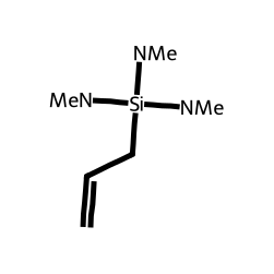 C=CC[Si](NC)(NC)NC